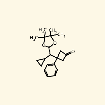 CC1(C)OB(C(C2CC2)C2(c3ccccc3)CC(=O)C2)OC1(C)C